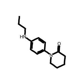 CCCNc1ccc(N2CCCCC2=O)cc1